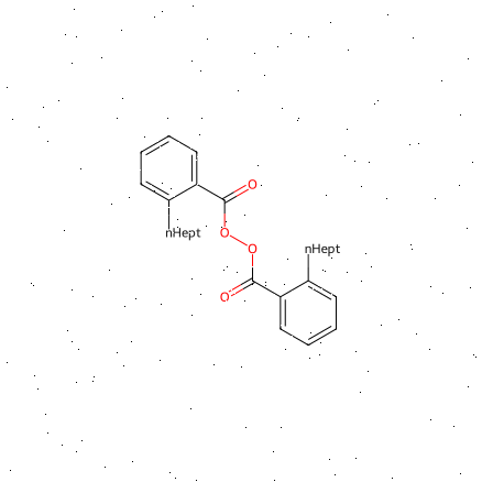 CCCCCCCc1ccccc1C(=O)OOC(=O)c1ccccc1CCCCCCC